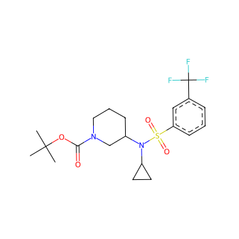 CC(C)(C)OC(=O)N1CCCC(N(C2CC2)S(=O)(=O)c2cccc(C(F)(F)F)c2)C1